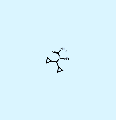 CCCN(C(N)=S)C(C1CC1)C1CC1